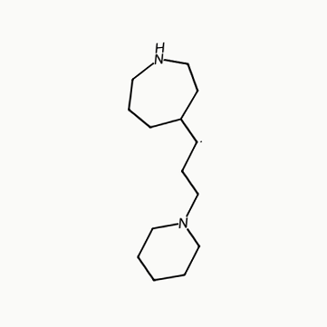 [CH](CCN1CCCCC1)C1CCCNCC1